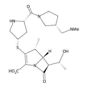 CNC[C@H]1CCN(C(=O)[C@@H]2C[C@H](SC3=C(C(=O)O)N4C(=O)[C@H]([C@@H](C)O)[C@H]4[C@H]3C)CN2)C1